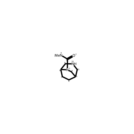 CNC(=O)N1CC2CCC1CNC2